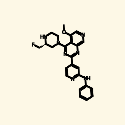 COc1cncc2nc(-c3ccnc(Nc4ccccc4)c3)nc(N3CCN[C@@H](CF)C3)c12